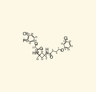 CC1(NC(=O)CCCOc2cccc(Cl)c2)CC(C)(NC(=O)COc2ccc(Cl)c(F)c2)C1